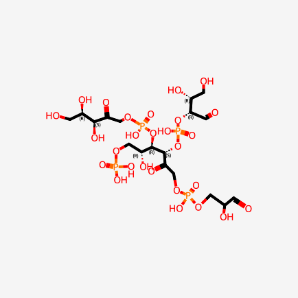 O=CC(O)COP(=O)(O)OCC(=O)[C@@H](OP(=O)(O)O[C@@H](C=O)[C@H](O)CO)[C@H](OP(=O)(O)OCC(=O)[C@@H](O)[C@H](O)CO)[C@H](O)COP(=O)(O)O